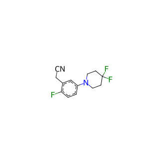 N#CCc1cc(N2CCC(F)(F)CC2)ccc1F